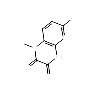 Cn1c(=O)c(=O)[nH]c2nc(Cl)ccc21